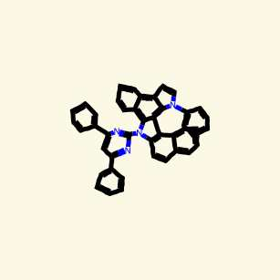 c1ccc(-c2cc(-c3ccccc3)nc(-n3c4ccc5ccccc5c4c4c5c(ccn5-c5ccccc5)c5ccccc5c43)n2)cc1